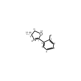 Cc1ccccc1C1=N[C@H](C)CO1